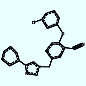 N#Cc1cc(Cn2cnc(-c3ccccc3)c2)ccc1Oc1cccc(Cl)c1